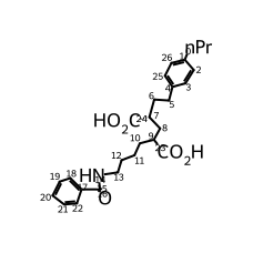 CCCc1ccc(CC[C@H](CC(CCCCNC(=O)c2ccccc2)C(=O)O)C(=O)O)cc1